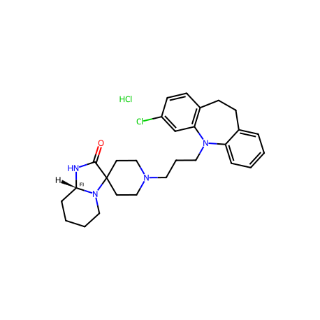 Cl.O=C1N[C@H]2CCCCN2C12CCN(CCCN1c3ccccc3CCc3ccc(Cl)cc31)CC2